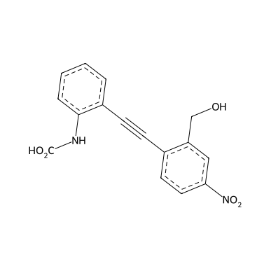 O=C(O)Nc1ccccc1C#Cc1ccc([N+](=O)[O-])cc1CO